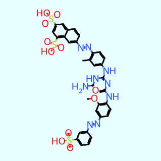 C=C(/N=C(\NC(N)=O)Nc1ccc(/N=N/c2ccc3cc(S(=O)(=O)O)cc(S(=O)(=O)O)c3c2)c(C)c1)Nc1ccc(/N=N/c2cccc(S(=O)(=O)O)c2)cc1OC